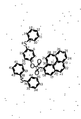 O=S(=O)(Oc1ccc(Sc2ccccc2)cc1)c1ccc2ccc3cccc4ccc1c2c34.c1ccc(Sc2ccccc2)cc1